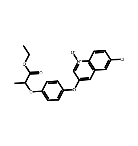 CCOC(=O)C(C)Oc1ccc(Oc2cc3cc(Cl)ccc3[n+]([O-])c2)cc1